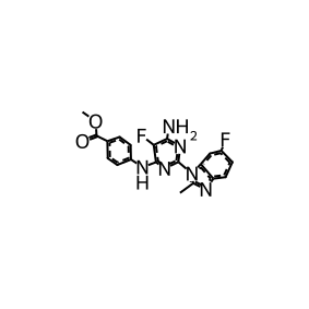 COC(=O)c1ccc(Nc2nc(-n3c(C)nc4ccc(F)cc43)nc(N)c2F)cc1